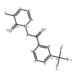 Cc1cccn(CC(=O)c2cccc(C(F)(F)F)c2)c1=O